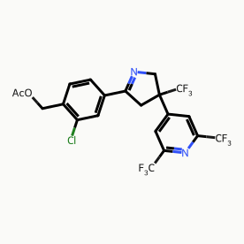 CC(=O)OCc1ccc(C2=NCC(c3cc(C(F)(F)F)nc(C(F)(F)F)c3)(C(F)(F)F)C2)cc1Cl